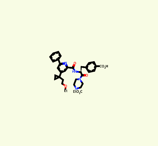 CCOCCC1(c2cc(C(=O)N[C@@H](Cc3ccc(C(=O)O)cc3)C(=O)N3CCN(C(=O)OCC)CC3)nc(-c3ccccc3)c2)CC1